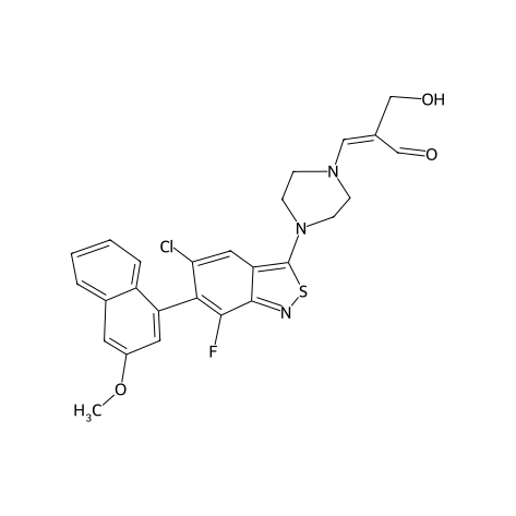 COc1cc(-c2c(Cl)cc3c(N4CCN(C=C(C=O)CO)CC4)snc3c2F)c2ccccc2c1